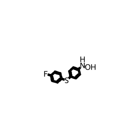 ONc1ccc(Sc2ccc(F)cc2)cc1